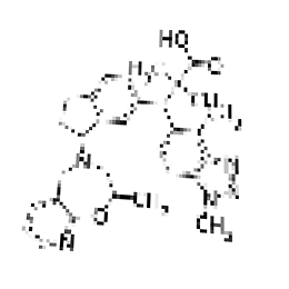 Cc1c(C(c2ccc3c(c2)C(N2Cc4cccnc4O[C@H](C)C2)CC3)C(C)(C)C(=O)O)ccc2c1nnn2C